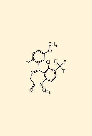 COc1ccc(F)c(C2=NCC(=O)N(C)c3ccc(C(F)(F)F)c(Cl)c32)c1